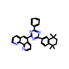 CC1(C)CCC(C)(C)c2cc(-c3nc(-c4ccccc4)nc(-c4cc5cccnc5c5ncccc45)n3)ccc21